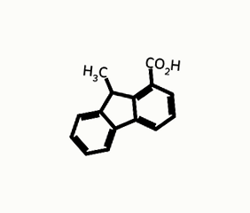 CC1c2ccccc2-c2cccc(C(=O)O)c21